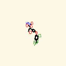 O=C1NC(=O)C([C@@H]2CCOc3cc(Oc4ccc(C(F)(F)F)cc4Cl)ccc32)O1